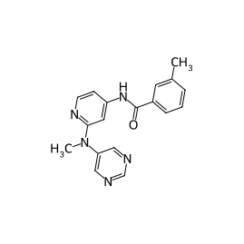 Cc1cccc(C(=O)Nc2ccnc(N(C)c3cncnc3)c2)c1